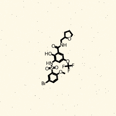 COc1ccc(Br)cc1S(=O)(=O)Nc1cc(OC(F)(F)F)cc(C(=O)NCC2CCCO2)c1O